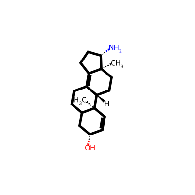 C[C@]12CC[C@H]3C(=C1CC[C@@H]2N)CCC1C[C@@H](O)C=C[C@@]13C